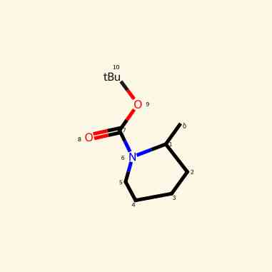 [CH2]C1CCCCN1C(=O)OC(C)(C)C